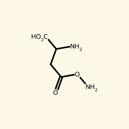 NOC(=O)CC(N)C(=O)O